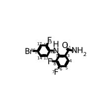 NC(=O)c1ccc(F)c(F)c1Nc1ccc(Br)cc1F